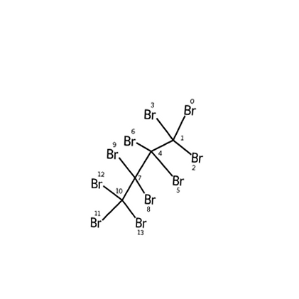 BrC(Br)(Br)C(Br)(Br)C(Br)(Br)C(Br)(Br)Br